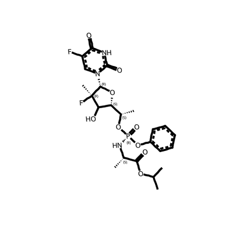 CC(C)OC(=O)[C@H](C)N[P@](=O)(Oc1ccccc1)O[C@@H](C)[C@H]1O[C@@H](n2cc(F)c(=O)[nH]c2=O)[C@](C)(F)C1O